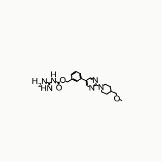 COCC1CCN(c2ncc(-c3cccc(COC(=O)NC(=N)N)c3)cn2)CC1